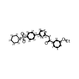 CCOc1cccc(C(=O)Cc2nc(-c3ccc(S(=O)(=O)N4CCCCC4)cc3)cs2)c1